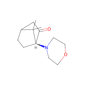 CC1(C)C2CC[C@@]1(N1CCOCC1)C(=O)C2